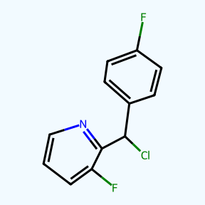 Fc1ccc(C(Cl)c2ncccc2F)cc1